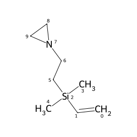 C=C[Si](C)(C)CCN1CC1